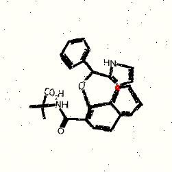 CC(C)(NC(=O)c1ccc2ccccc2c1OC(c1ccccc1)c1ncc[nH]1)C(=O)O